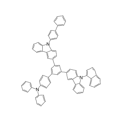 c1ccc(-c2ccc(-n3c4ccccc4c4cc(-c5cc(-c6ccc(N(c7ccccc7)c7ccccc7)cc6)cc(-c6ccc7c(c6)c6ccccc6n7-c6cccc7ccccc67)c5)ccc43)cc2)cc1